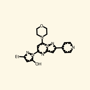 CCc1cc(O)n(-c2cc(N3CCOCC3)n3nc(-c4ccncc4)cc3n2)n1